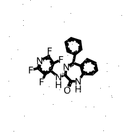 O=C1Nc2ccccc2C(c2ccccc2)=N[C@@H]1Nc1c(F)c(F)nc(F)c1F